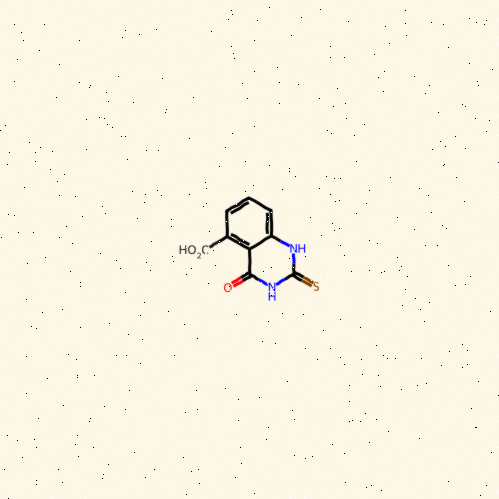 O=C(O)c1cccc2[nH]c(=S)[nH]c(=O)c12